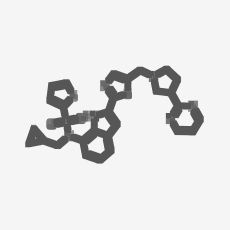 O=S(=O)(c1cccs1)N(CC1CC1)c1cccc2cc(-c3ncc(CN4CCC(c5ncccn5)C4)s3)[nH]c12